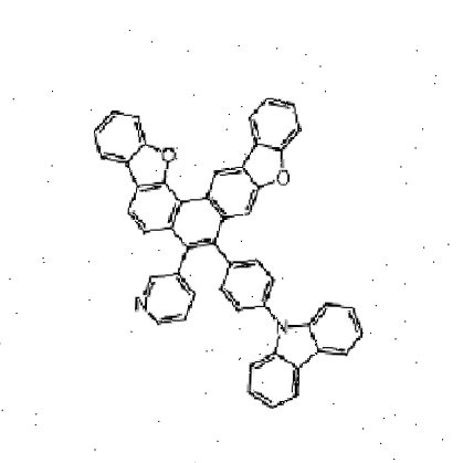 c1cncc(-c2c(-c3ccc(-n4c5ccccc5c5ccccc54)cc3)c3cc4oc5ccccc5c4cc3c3c2ccc2c4ccccc4oc23)c1